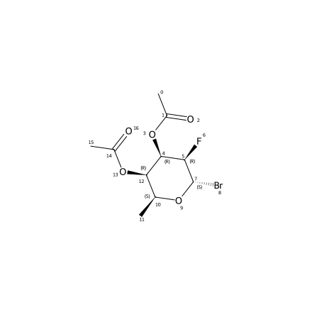 CC(=O)O[C@H]1[C@@H](F)[C@H](Br)O[C@@H](C)[C@H]1OC(C)=O